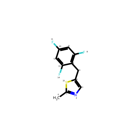 Cc1ncc(Cc2c(F)cc(F)cc2F)s1